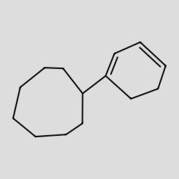 C1=CCCC(C2CCCCCCC2)=C1